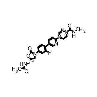 CNC(=O)N1CCN(c2ccc(-c3ccc(N4C[C@H](CNC(C)=O)OC4=O)cc3F)cn2)C=N1